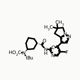 CC1(C)Cc2c(-c3cc(NC(=O)[C@H]4CCC[C@@H](N(C(=O)O)C(C)(C)C)C4)ncc3F)cnn2C1